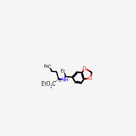 CCOC(=O)[C@H](CCC#N)NC(CC)c1ccc2c(c1)OCO2